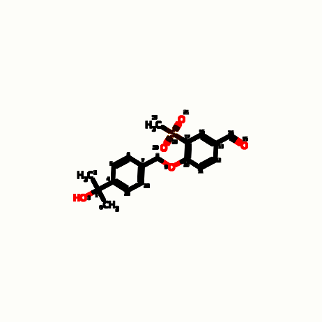 CC(C)(O)c1ccc(COc2ccc(C=O)cc2S(C)(=O)=O)cc1